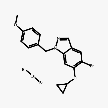 COc1ccc(Cn2ncc3cc(Br)c(OC4CC4)cc32)cc1.[Br][Cu][Br]